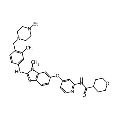 CCN1CCN(Cc2ccc(Nc3nc4ccc(Oc5ccnc(NC(=O)C6CCOCC6)c5)cc4n3C)cc2C(F)(F)F)CC1